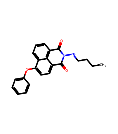 CCCCNN1C(=O)c2cccc3c(Oc4ccccc4)ccc(c23)C1=O